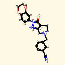 N#Cc1cccc(CN2CCc3c([nH]n(-c4ccc5c(c4)OCCO5)c3=O)C2)c1